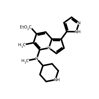 CCOC(=O)c1cc2c(-c3ccn[nH]3)ccn2c(N(C)C2CCNCC2)c1C